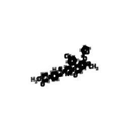 COc1cc2c(cc1OC[C@H]1CCCO1)[C@H](c1ccc(Cl)cc1)N(c1ccc(N(C)CC3CCC(N4CCN(C)C(=O)C4)CC3)nc1)C(=O)C2